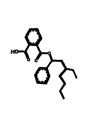 CCCCC(CC)CC(OC(=O)c1ccccc1C(=O)O)c1ccccc1